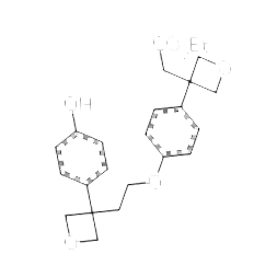 CCOC(=O)CC1(c2ccc(OCCC3(c4ccc(O)cc4)COC3)cc2)COC1